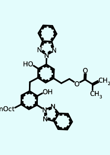 C=C(C)C(=O)OCCc1cc(Cc2cc(CCCCCCCC)cc(-n3nc4ccccc4n3)c2O)c(O)c(-n2nc3ccccc3n2)c1